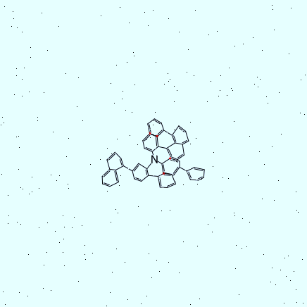 c1ccc(-c2ccc(N(c3cc(-c4cccc5ccccc45)ccc3-c3ccccc3)c3ccccc3-c3cccc4cccc(-c5ccccc5)c34)cc2)cc1